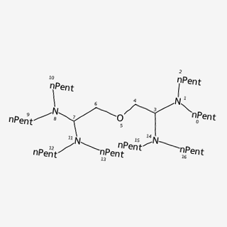 CCCCCN(CCCCC)C(COCC(N(CCCCC)CCCCC)N(CCCCC)CCCCC)N(CCCCC)CCCCC